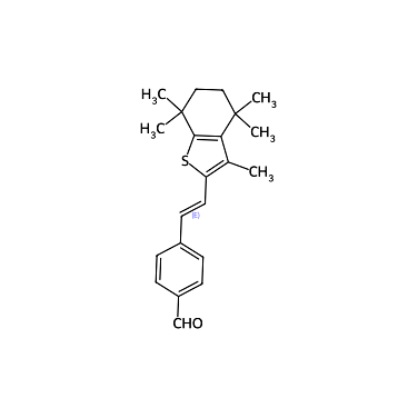 Cc1c(/C=C/c2ccc(C=O)cc2)sc2c1C(C)(C)CCC2(C)C